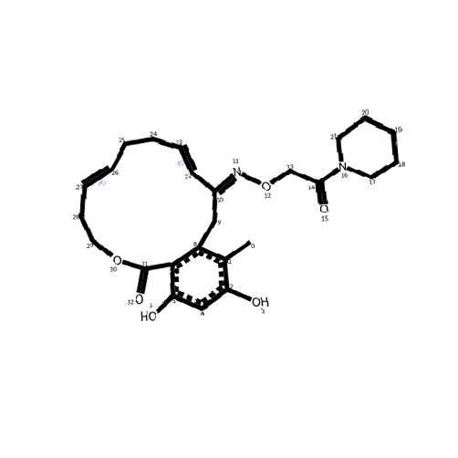 Cc1c(O)cc(O)c2c1CC(=NOCC(=O)N1CCCCC1)/C=C/CC/C=C/CCOC2=O